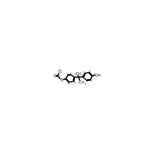 CC(C)(c1ccc(O)cc1)c1ccc(OC(=O)Cl)cc1